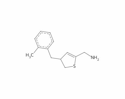 Cc1ccccc1CC1C=C(CN)SC1